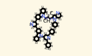 C=c1/c(=C\C=C(/C)n2c3ccccc3c3ccc(-c4cncc(-c5ccc6c(c5)c5ccccc5n6-c5cc(-c6ccccc6)nc(-c6ccccc6)c5)c4)cc32)n(-c2ccccc2)c2cccnc12